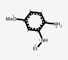 CCNc1cc(OC)ccc1N